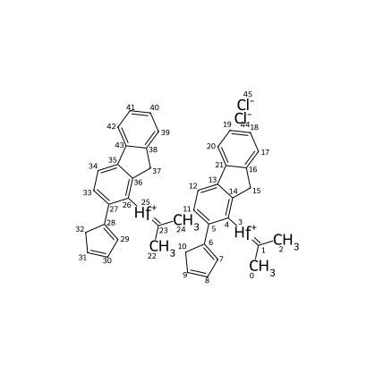 C[C](C)=[Hf+][c]1c(C2=CC=CC2)ccc2c1Cc1ccccc1-2.C[C](C)=[Hf+][c]1c(C2=CC=CC2)ccc2c1Cc1ccccc1-2.[Cl-].[Cl-]